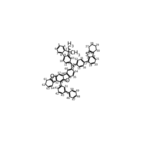 CC1(C)c2ccccc2-c2ccc(N(c3ccc(-c4cccc5c6c(sc45)CCCC6)cc3)c3ccc4oc5c(-c6cccc(-c7ccccc7)c6)c6c7c(oc6cc5c4c3)CCC=C7)cc21